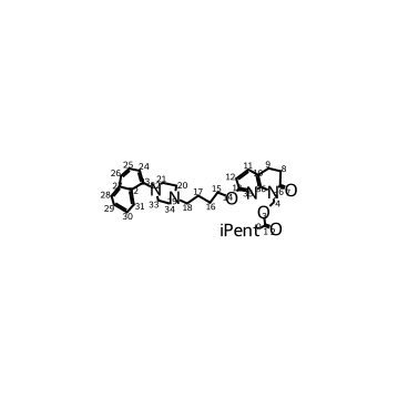 CCCC(C)C(=O)OCN1C(=O)CCc2ccc(OCCCCN3CCN(c4cccc5ccccc45)CC3)nc21